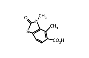 Cc1c(C(=O)O)ccc2sc(=O)n(C)c12